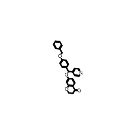 O=C1CCOc2cc(O[C@@H](c3ccncc3)c3ccc(OCc4ccccc4)cc3)ccc21